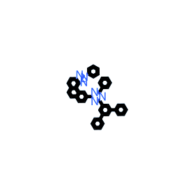 c1ccc(-c2cc(-c3ccccc3)cc(-c3nc(-c4ccccc4)nc(-c4ccc5ccc6ccc7nn(-c8ccccc8)nc7c6c5c4)n3)c2)cc1